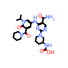 CC(C)n1cc(Nc2nc(N3CCCC(NC(=O)O)C3)ncc2C(N)=O)cc(C(=O)N2CCCCC2)c1=O